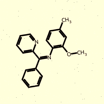 COc1cc(C)ccc1N=C(c1ccccc1)c1ccccn1